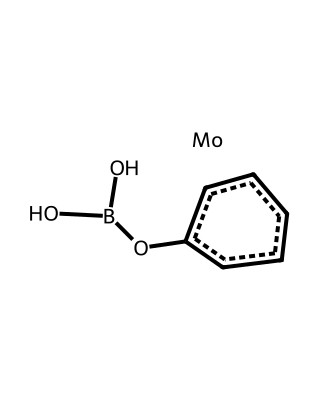 OB(O)Oc1ccccc1.[Mo]